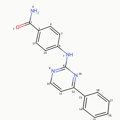 NC(=O)c1ccc(Nc2nccc(-c3ccccc3)n2)cc1